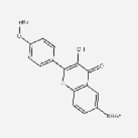 CCCCOc1ccc(-c2oc3ccc(NC(C)=O)cc3c(=O)c2O)cc1